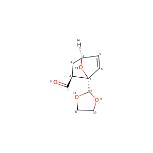 O=C[C@H]1C[C@H]2C=C[C@]1(C1OCCO1)O2